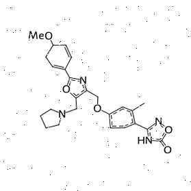 COC1C=CC(c2nc(COc3ccc(-c4noc(=O)[nH]4)c(C)c3)c(CN3CCCC3)o2)=CC1